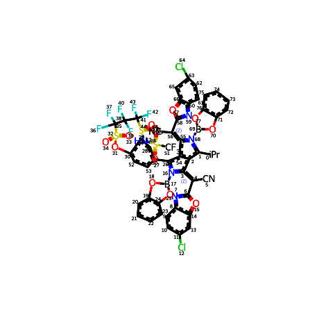 CC(C)c1c2/c(=C(\C#N)c3nc4ccc(Cl)cc4o3)n(B3Oc4ccccc4O3)c(-c3ccc(OS(=O)(=O)C(F)(F)C(F)(F)C(F)(F)S(=O)(=O)NS(=O)(=O)C(F)(F)F)cc3)c2/c(=C(\C#N)c2nc3ccc(Cl)cc3o2)n1B1Oc2ccccc2O1